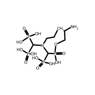 CCCN(C(P(=O)(O)O)P(=O)(O)O)C(P(=O)(O)O)P(=O)(O)OCCN